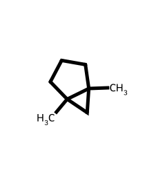 CC12CCCC1(C)C2